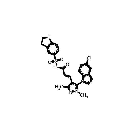 Cc1nn(C)c(-n2ccc3cc(Cl)ccc32)c1C=CC(=O)NS(=O)(=O)c1ccc2c(c1)CCO2